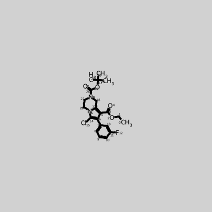 CCOC(=O)c1c(-c2cccc(F)c2)c(Cl)n2c1CN(C(=O)OC(C)(C)C)CC2